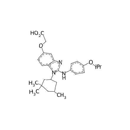 CC1CC(n2c(Nc3ccc(OC(C)C)cc3)nc3cc(OCC(=O)O)ccc32)CC(C)(C)C1